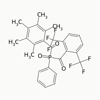 Cc1c(C)c(C)c(C(=O)P(=O)(C(=O)c2c(C(F)(F)F)cccc2C(F)(F)F)c2ccccc2)c(C)c1C